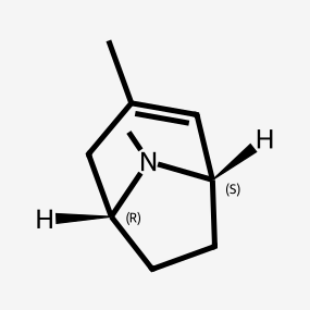 CC1=C[C@@H]2CC[C@H](C1)N2C